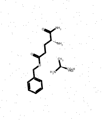 C[C@H](N)C(=O)O.Cl.NC(=O)[C@H](N)CCC(=O)OCc1ccccc1